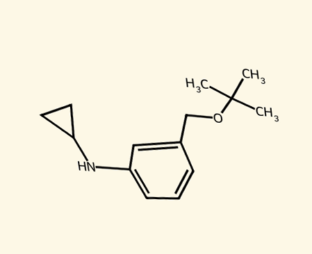 CC(C)(C)OCc1cccc(NC2CC2)c1